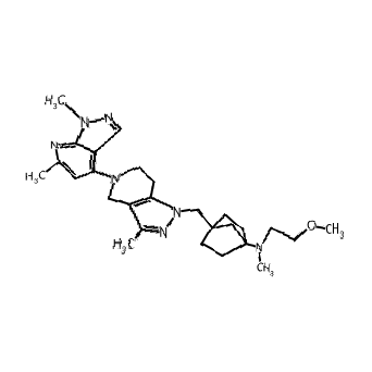 COCCN(C)C12CCC(Cn3nc(C)c4c3CCN(c3cc(C)nc5c3cnn5C)C4)(CC1)C2